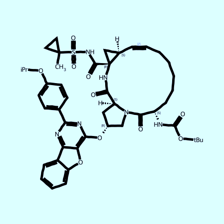 CC(C)Oc1ccc(-c2nc(O[C@@H]3C[C@H]4C(=O)N[C@]5(C(=O)NS(=O)(=O)C6(C)CC6)C[C@H]5/C=C\CCCCC[C@H](NC(=O)OC(C)(C)C)C(=O)N4C3)c3oc4ccccc4c3n2)cc1